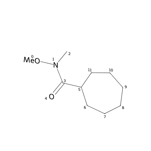 CON(C)C(=O)C1CCCCCC1